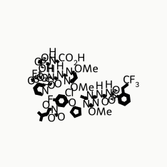 CC(C)=C1OC(=O)N(c2cc(OC3CCCC3)c(Cl)cc2F)C1=O.CCS(=O)(=O)c1cccnc1S(=O)(=O)NC(=O)Nc1nc(OC)cc(OC)n1.COc1nc(C)nc(NC(=O)NS(=O)(=O)c2ccccc2CCC(F)(F)F)n1.O=C(O)CNCP(=O)(O)O